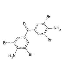 Nc1c(Br)cc(C(=O)c2cc(Br)c(N)c(Br)c2)cc1Br